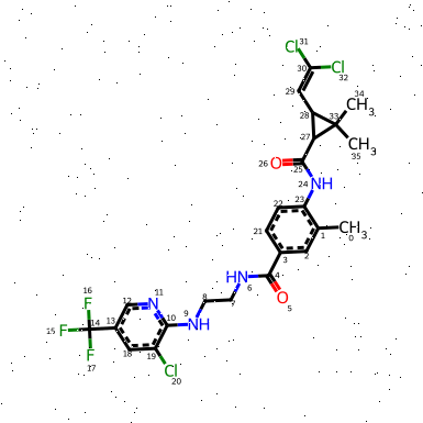 Cc1cc(C(=O)NCCNc2ncc(C(F)(F)F)cc2Cl)ccc1NC(=O)C1C(C=C(Cl)Cl)C1(C)C